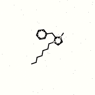 CCCCCCC[n+]1ccn(C)c1Cc1ccccc1